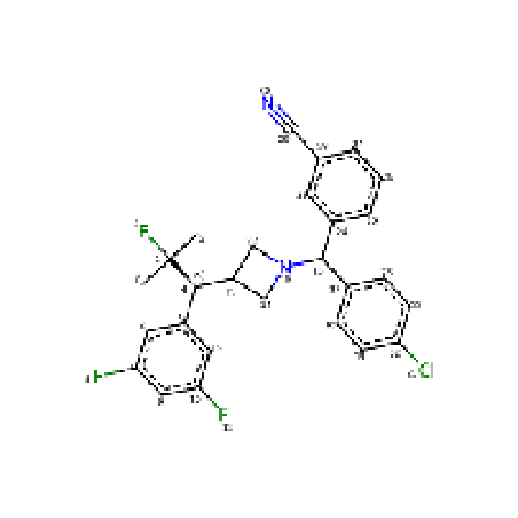 CC(C)(F)[C@H](c1cc(F)cc(F)c1)C1CN(C(c2ccc(Cl)cc2)c2cccc(C#N)c2)C1